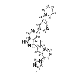 Cc1cn(-c2ccnc3[nH]c(-c4n[nH]c5cnc(-c6cncc(CN7CCCCC7)c6)cc45)cc23)cn1